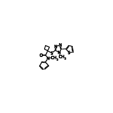 CN(C(=O)C1(Sc2nnc(-c3cccs3)n2C)CCC1)c1ccccc1